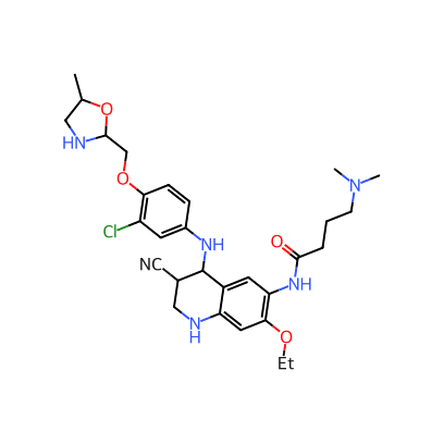 CCOc1cc2c(cc1NC(=O)CCCN(C)C)C(Nc1ccc(OCC3NCC(C)O3)c(Cl)c1)C(C#N)CN2